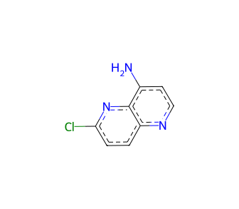 Nc1ccnc2ccc(Cl)nc12